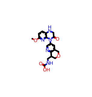 COc1ccc2c(n1)N(c1cnc3c(c1)COCC3CNC(=O)O)C(=O)CN2